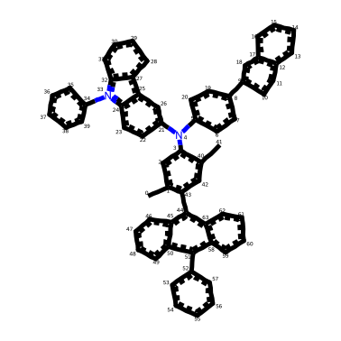 Cc1cc(N(c2ccc(-c3ccc4ccccc4c3)cc2)c2ccc3c(c2)c2ccccc2n3-c2ccccc2)c(C)cc1-c1c2ccccc2c(-c2ccccc2)c2ccccc12